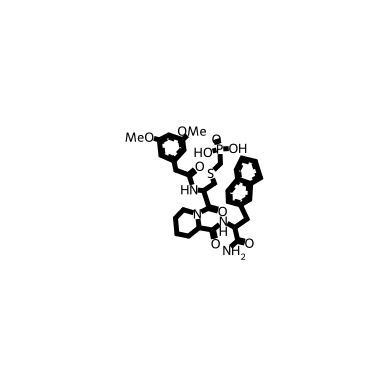 COc1cc(CC(=O)NC(CSCP(=O)(O)O)C(=O)N2CCCCC2C(=O)NC(Cc2ccc3ccccc3c2)C(N)=O)cc(OC)c1